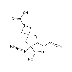 C=CCC1CC2(CN(C(=O)O)C2)CC1(N=[N+]=[N-])C(=O)O